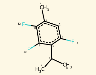 Cc1cc(F)c(C(C)C)c(F)c1F